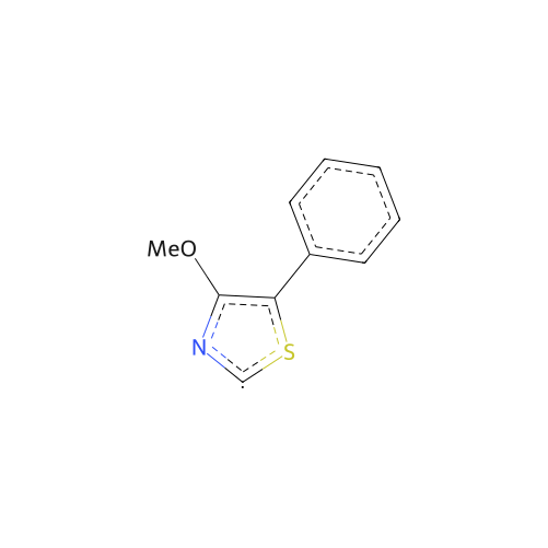 COc1n[c]sc1-c1ccccc1